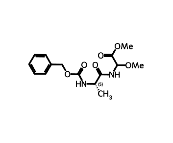 COC(=O)C(NC(=O)[C@H](C)NC(=O)OCc1ccccc1)OC